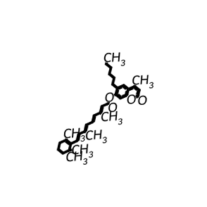 CCCCCCc1cc2c(C)cc(=O)oc2cc1OC(=O)/C=C(C)/C=C/C=C(C)/C=C/C1=C(C)CCCC1(C)C